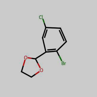 Clc1ccc(Br)c(C2OCCO2)c1